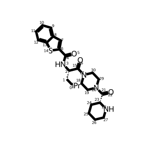 CC(C)C[C@H](NC(=O)c1cc2ccccc2s1)C(=O)N1CCN(C(=O)[C@H]2CCCCN2)CC1